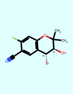 CC1(C)Oc2cc(F)c(C#N)cc2[C@@H](Br)[C@@H]1O